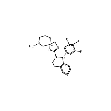 CN1CCC[C@]2(CN=C(N3CCc4ccccc4[C@H]3c3cc(F)c(F)c(F)c3)O2)C1